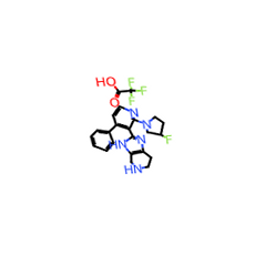 FC1CCN(c2nccc(-c3ccccc3)c2-c2nc3c([nH]2)CNCC3)C1.O=C(O)C(F)(F)F